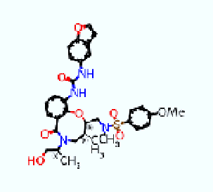 COc1ccc(S(=O)(=O)N(C)C[C@@H]2Oc3c(NC(=O)Nc4ccc5occc5c4)cccc3C(=O)N([C@@H](C)CO)C[C@H]2C)cc1